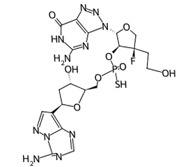 Nc1nc2c(nnn2[C@@H]2OC[C@](F)(CCO)[C@H]2OP(=O)(S)OC[C@H]2O[C@@H](c3cnn4c(N)ncnc34)C[C@@H]2O)c(=O)[nH]1